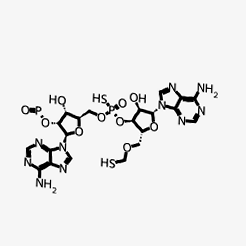 Nc1ncnc2c1ncn2[C@@H]1O[C@H](COCS)[C@@H](OP(=O)(S)OC[C@H]2O[C@@H](n3cnc4c(N)ncnc43)[C@H](OP=O)[C@@H]2O)[C@H]1O